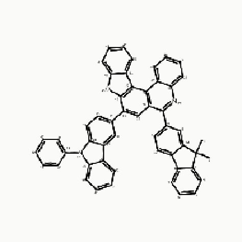 CC1(C)c2ccccc2-c2ccc(-c3nc4ccccc4c4c3cc(-c3ccc5c(c3)c3ccccc3n5-c3ccccc3)c3oc5ccccc5c34)cc21